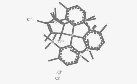 CC1=C(C)[C]([Ti+3])([Si](c2c([Si](C)(C)C)ccc(C)c2[Si](C)(C)C)(c2c([Si](C)(C)C)ccc(C)c2[Si](C)(C)C)c2c([Si](C)(C)C)ccc(C)c2[Si](C)(C)C)C(C)=C1C.[Cl-].[Cl-].[Cl-]